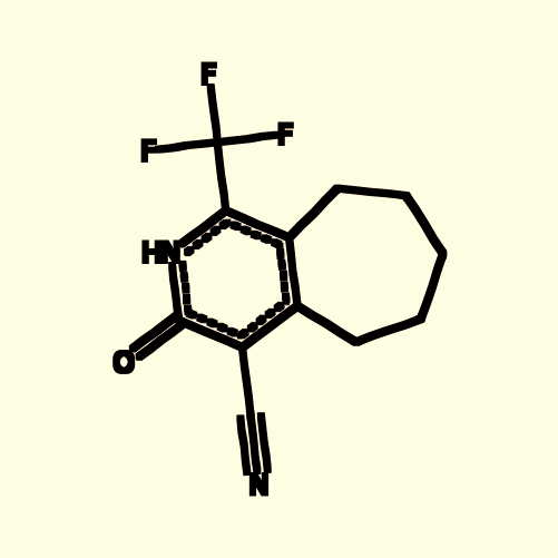 N#Cc1c2c(c(C(F)(F)F)[nH]c1=O)CCCCC2